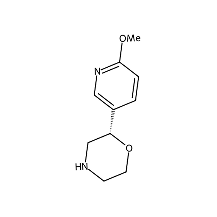 COc1ccc([C@H]2CNCCO2)cn1